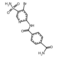 NC(=O)c1ccc(C(=O)Nc2cc(Br)c(S(N)(=O)=O)cn2)cc1